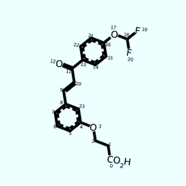 O=C(O)CCOc1cccc(C=CC(=O)c2ccc(OC(F)F)cc2)c1